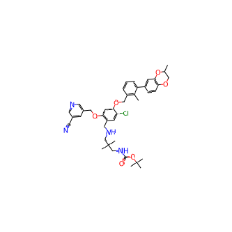 Cc1c(COc2cc(OCc3cncc(C#N)c3)c(CNCC(C)(C)CNC(=O)OC(C)(C)C)cc2Cl)cccc1-c1ccc2c(c1)OC(C)CO2